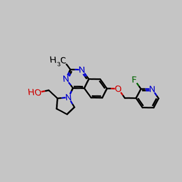 Cc1nc(N2CCCC2CO)c2ccc(OCc3cccnc3F)cc2n1